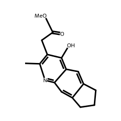 COC(=O)Cc1c(C)nc2cc3c(cc2c1O)CCC3